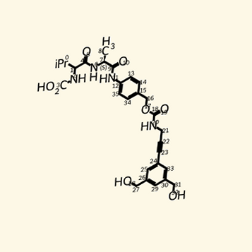 CC(C)C(NC(=O)O)C(=O)N[C@@H](C)C(=O)Nc1ccc(COC(=O)NCC#Cc2cc(CO)cc(CO)c2)cc1